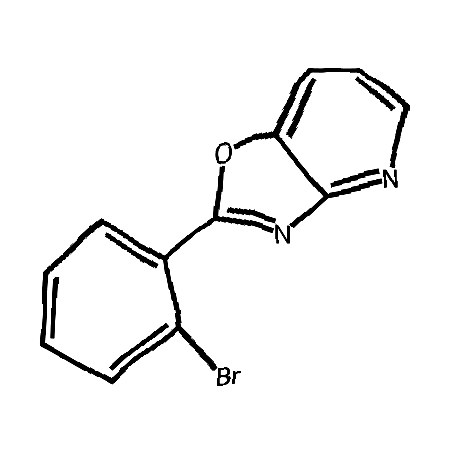 Brc1ccccc1-c1nc2ncccc2o1